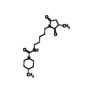 CC1CCN(C(=O)NCCCCCN2C(=O)CC(C)C2=O)CC1